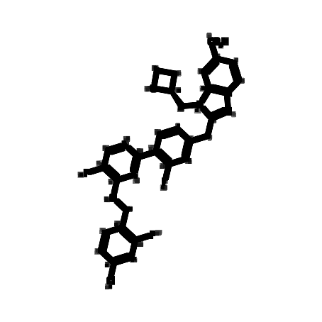 O=C(O)c1ccc2nc(Cc3ccc(-c4ncc(F)c(OCc5ccc(Cl)cc5F)n4)c(F)c3)n(C[C@@H]3CCO3)c2c1